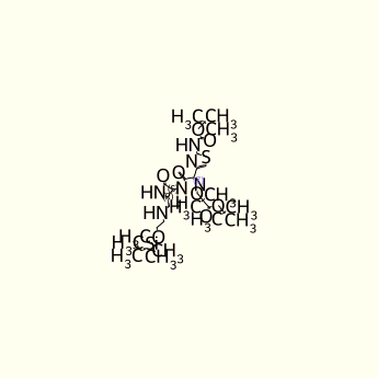 CC(C)(C)OC(=O)Nc1nc(/C(=N/OC(C)(C)C(=O)OC(C)(C)C)C(=O)N[C@@H]2C(=O)N[C@@H]2CNCCO[Si](C)(C)C(C)(C)C)cs1